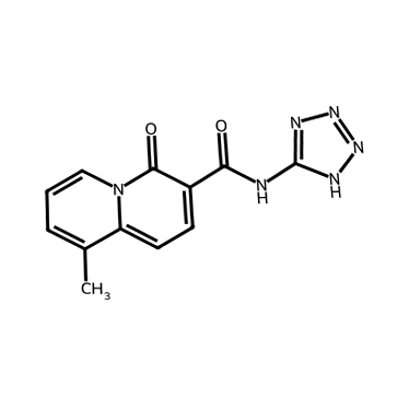 Cc1cccn2c(=O)c(C(=O)Nc3nnn[nH]3)ccc12